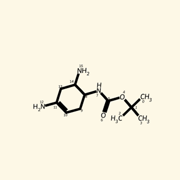 CC(C)(C)OC(=O)NC1CC=C(N)CC1N